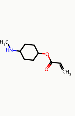 C=CC(=O)OC1CCC(NC)CC1